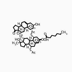 CC(=O)S[C@H]1CC(=O)C=C2C[C@@H](SC(C)=O)[C@@H]3[C@H](CC[C@@]4(C)[C@H]3CC[C@]4(C)O)[C@]21C.CCCCCCC(=O)O.C[C@]12CC[C@H](O)CC1=CC[C@@H]1[C@@H]2CC[C@]2(C)C(=O)CC[C@@H]12